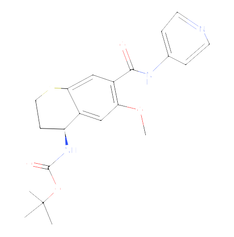 COc1cc2c(cc1C(=O)Nc1ccncc1)SCC[C@@H]2NC(=O)OC(C)(C)C